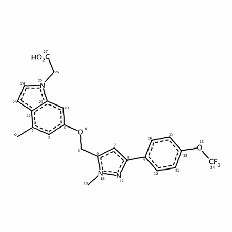 Cc1cc(OCc2cc(-c3ccc(OC(F)(F)F)cc3)nn2C)cc2c1ccn2CC(=O)O